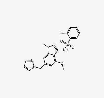 COc1cc(Cn2cccn2)cc2c1c(NS(=O)(=O)c1ccccc1F)nn2C